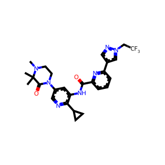 CN1CCN(c2cnc(C3CC3)c(NC(=O)c3cccc(-c4cnn(CC(F)(F)F)c4)n3)c2)C(=O)C1(C)C